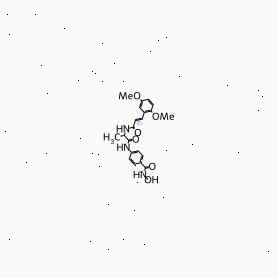 COc1ccc(OC)c(/C=C/C(=O)NC(C)C(=O)Nc2ccc(C(=O)NO)cc2)c1